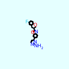 Nc1nccc(-c2ccc3nc(C4COc5ccc(F)cc5C4)oc3c2)n1